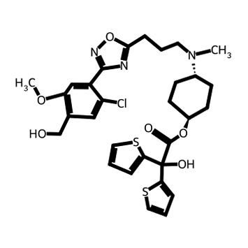 COc1cc(-c2noc(CCCN(C)[C@H]3CC[C@H](OC(=O)C(O)(c4cccs4)c4cccs4)CC3)n2)c(Cl)cc1CO